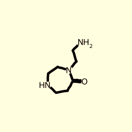 NCCN1CCNCCC1=O